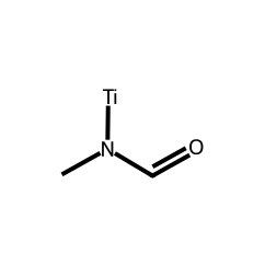 C[N]([Ti])C=O